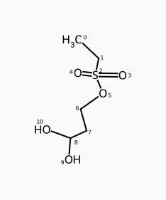 CCS(=O)(=O)OCCC(O)O